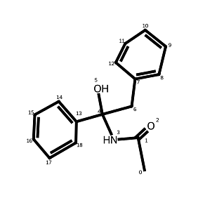 CC(=O)NC(O)(Cc1ccccc1)c1ccccc1